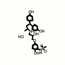 CC(CC(c1ccc(O)cc1)c1ccc(O)cc1)NC[C@H](O)COc1ccc(O)c(NS(C)(=O)=O)c1.Cl